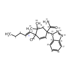 CCC/C=C/C1(Cl)C=CC(C(N)=O)(n2nnc3ccccc32)CC1(C)C